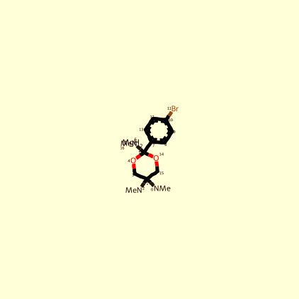 CNC1(NC)COC(NC)(c2ccc(Br)cc2)OC1.[MgH2]